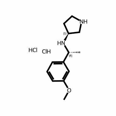 COc1cccc([C@@H](C)N[C@H]2CCNC2)c1.Cl.Cl